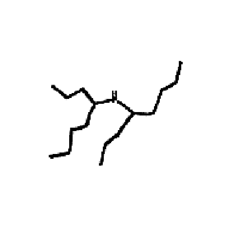 CCCCC(CCC)PC(CCC)CCCC